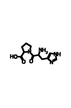 NC(Cc1c[nH]cn1)C(=O)N1CCCC1C(=O)O